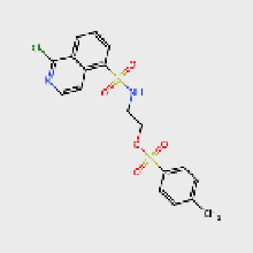 Cc1ccc(S(=O)(=O)OCCNS(=O)(=O)c2cccc3c(Cl)nccc23)cc1